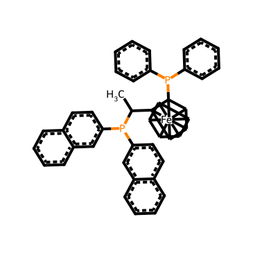 CC(P(c1ccc2ccccc2c1)c1ccc2ccccc2c1)[C]12[CH]3[CH]4[CH]5[C]1(P(c1ccccc1)c1ccccc1)[Fe]43521678[CH]2[CH]1[CH]6[CH]7[CH]28